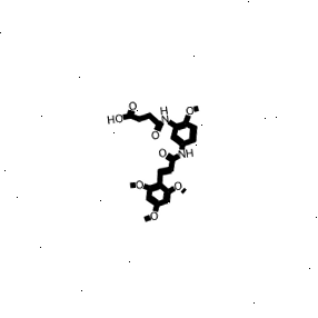 COc1cc(OC)c(C=CC(=O)Nc2ccc(OC)c(NC(=O)CCC(=O)O)c2)c(OC)c1